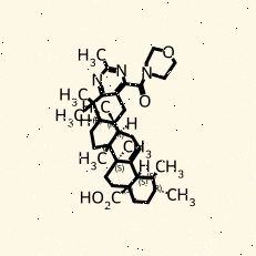 Cc1nc(C(=O)N2CCOCC2)c2c(n1)C(C)(C)[C@@H]1CC[C@]3(C)[C@H](CC=C4[C@@H]5[C@@H](C)[C@H](C)CC[C@]5(C(=O)O)CC[C@]43C)[C@@]1(C)C2